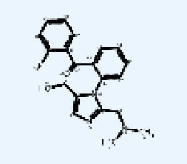 CN(C)Cc1ncc(CO)n1-c1ccccc1C(=O)c1ccccc1F